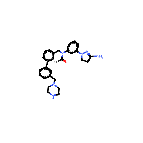 NC1=NN(c2cccc(N(Cc3cccc(-c4cccc(CN5CCNCC5)c4)c3)C(=O)C(F)(F)F)c2)CC1